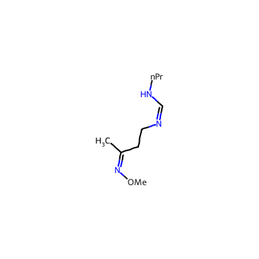 CCCN/C=N\CC/C(C)=N\OC